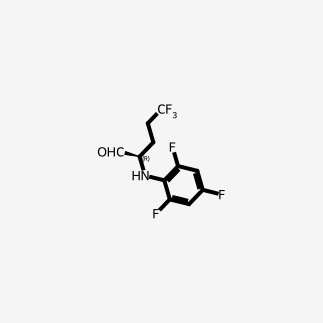 O=C[C@@H](CCC(F)(F)F)Nc1c(F)cc(F)cc1F